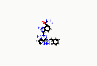 NC(=O)c1cccc2c(C3N=C(NCc4ccccc4)c4[nH]ccc4N3)n[nH]c12